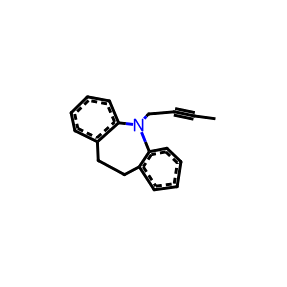 CC#CCN1c2ccccc2CCc2ccccc21